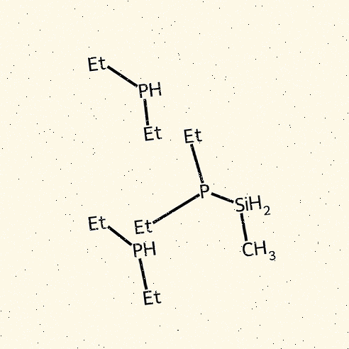 CCP(CC)[SiH2]C.CCPCC.CCPCC